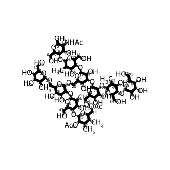 CC(=O)NC1C(O)OC(CO)[C@@H](O[C@@H]2OC(CO)[C@@H](O[C@@H]3OC(CO[C@H]4OC(CO[C@@H]5OC(CO)[C@@H](O)[C@H](O)C5C)[C@@H](O)[C@H](O)C4O[C@@H]4OC(CO)[C@@H](O[C@@H]5OC(COC(C)=O)[C@H](C)[C@H](C)C5OC(C)=O)[C@H](O)C4C)[C@@H](O)[C@H](O[C@@H]4OC(CO)[C@H](O)C(O)[C@@H]4O[C@@H]4OC(CO)[C@@H](O[C@@H]5OC(CO)[C@H](O)[C@H](O)C5O)[C@H](O)C4C)C3O)[C@H](O)C2C)[C@@H]1O